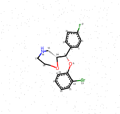 Fc1ccc([C@H](Oc2ccccc2Br)[C@H]2CNCCO2)cc1